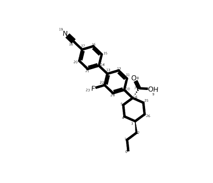 CCC[C@H]1CC[C@@](C(=O)O)(c2ccc(-c3ccc(C#N)cc3)c(F)c2)CC1